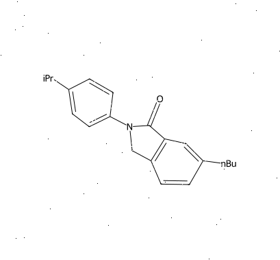 CCCCc1ccc2c(c1)C(=O)N(c1ccc(C(C)C)cc1)C2